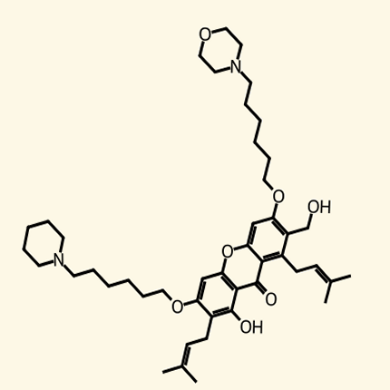 CC(C)=CCc1c(OCCCCCCN2CCCCC2)cc2oc3cc(OCCCCCCN4CCOCC4)c(CO)c(CC=C(C)C)c3c(=O)c2c1O